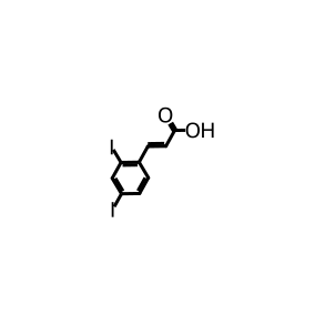 O=C(O)C=Cc1ccc(I)cc1I